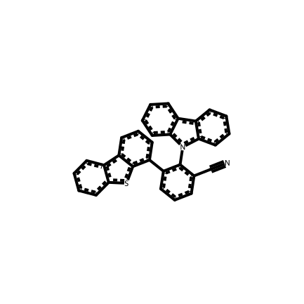 N#Cc1cccc(-c2cccc3c2sc2ccccc23)c1-n1c2ccccc2c2ccccc21